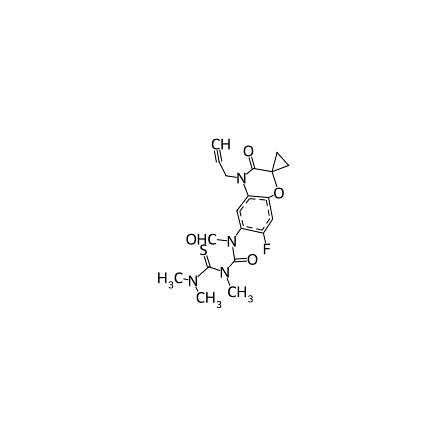 C#CCN1C(=O)C2(CC2)Oc2cc(F)c(N(C=O)C(=O)N(C)C(=S)N(C)C)cc21